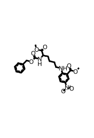 COC(=O)c1cc([N+](=O)[O-])ccc1NCCCCC(NC(=O)OCc1ccccc1)C(=O)OC